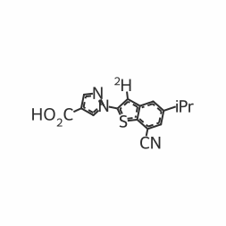 [2H]c1c(-n2cc(C(=O)O)cn2)sc2c(C#N)cc(C(C)C)cc12